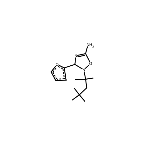 CC(C)(C)CC(C)(C)N1OC(N)=NC1c1ccco1